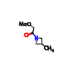 COCC(=O)N1CC(C)C1